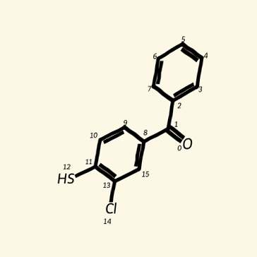 O=C(c1ccccc1)c1ccc(S)c(Cl)c1